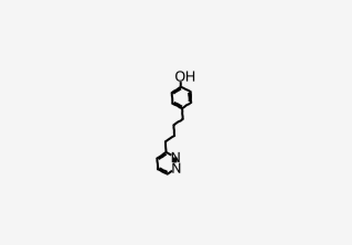 Oc1ccc(CCCCc2cccnn2)cc1